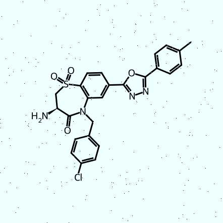 Cc1ccc(-c2nnc(-c3ccc4c(c3)N(Cc3ccc(Cl)cc3)C(=O)[C@@H](N)CS4(=O)=O)o2)cc1